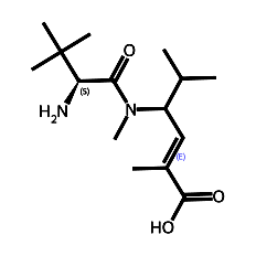 C/C(=C\C(C(C)C)N(C)C(=O)[C@@H](N)C(C)(C)C)C(=O)O